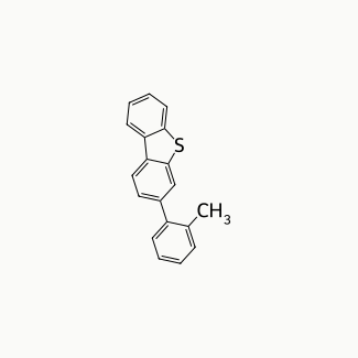 Cc1ccccc1-c1ccc2c(c1)sc1ccccc12